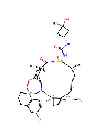 C=C1/C=C2\C(=C/C)OC[C@]3(CCCc4cc(Cl)ccc43)CN2C[C@@H]2CC[C@H]2[C@@H](OC)/C=C/C[C@H](C)C[S@@](=O)(NC(=O)N[C@H]2C[C@@](C)(O)C2)=NC1=O